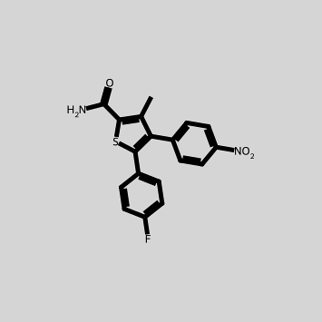 Cc1c(C(N)=O)sc(-c2ccc(F)cc2)c1-c1ccc([N+](=O)[O-])cc1